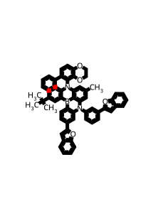 Cc1cc2c3c(c1)N(c1c(-c4ccccc4)ccc4c1OCCO4)c1ccc(C(C)(C)C)cc1B3c1ccc(-c3cc4ccccc4o3)cc1N2c1cccc(-c2cc3ccccc3o2)c1